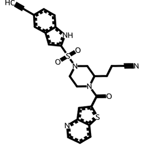 C#Cc1ccc2[nH]c(S(=O)(=O)N3CCN(C(=O)c4cc5ncccc5s4)C(CCC#N)C3)cc2c1